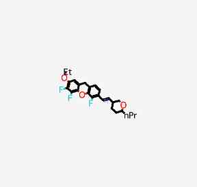 CCCC1CCC(/C=C/c2ccc3c(c2F)Oc2c(cc(OCC)c(F)c2F)C3)CO1